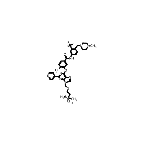 Cc1ccc(C(=O)Nc2ccc(CN3CCN(C)CC3)c(C(F)(F)F)c2)cc1Oc1nc(-c2ccncc2)nc2c1ncn2COCC[Si](C)(C)C